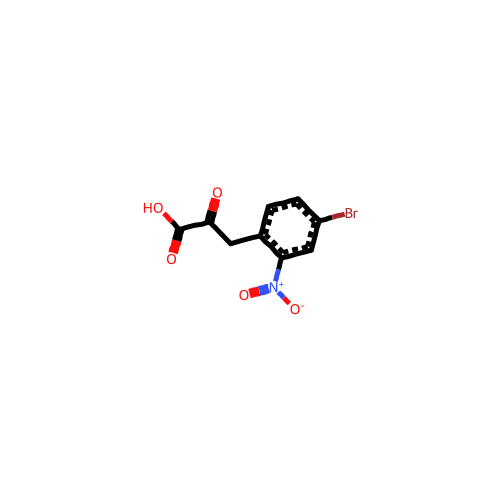 O=C(O)C(=O)Cc1ccc(Br)cc1[N+](=O)[O-]